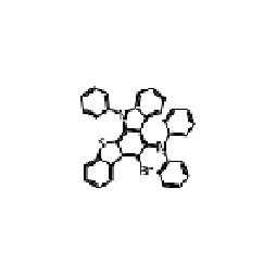 Brc1c(N(c2ccccc2)c2ccccc2)c2c3ccccc3n(-c3ccccc3)c2c2sc3ccccc3c12